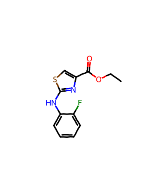 CCOC(=O)c1csc(Nc2ccccc2F)n1